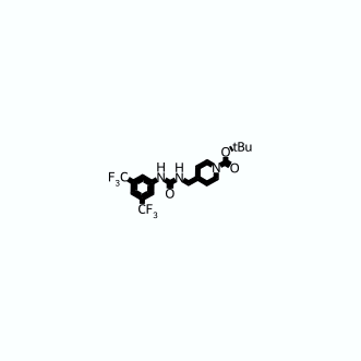 CC(C)(C)OC(=O)N1CCC(CNC(=O)Nc2cc(C(F)(F)F)cc(C(F)(F)F)c2)CC1